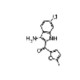 Cc1ccc(C(=O)c2[nH]c3cc(Cl)ccc3c2N)o1